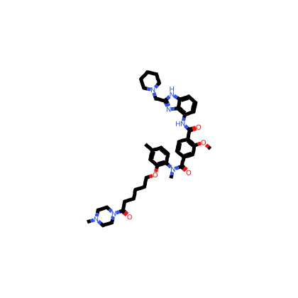 COc1cc(C(=O)N(C)c2ccc(C)cc2OCCCCCC(=O)N2CCN(C)CC2)ccc1C(=O)Nc1cccc2[nH]c(CN3CCCCC3)nc12